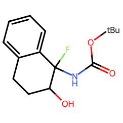 CC(C)(C)OC(=O)NC1(F)c2ccccc2CCC1O